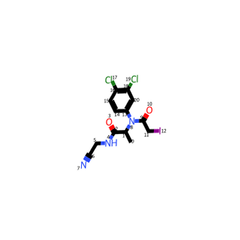 CC(C(=O)NCC#N)N(C(=O)CI)c1ccc(Cl)c(Cl)c1